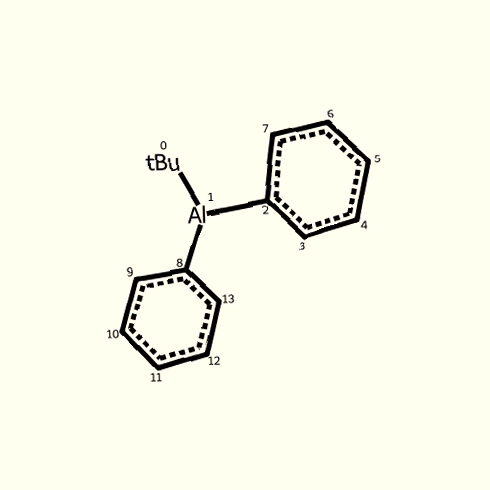 C[C](C)(C)[Al]([c]1ccccc1)[c]1ccccc1